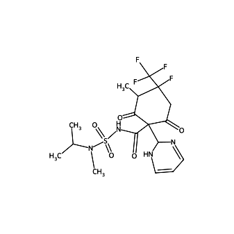 CC(C)N(C)S(=O)(=O)NC(=O)C1(C2N=CC=CN2)C(=O)CC(F)(C(F)(F)F)C(C)C1=O